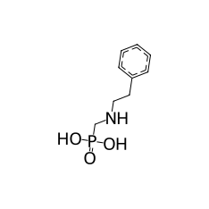 O=P(O)(O)CNCCc1ccccc1